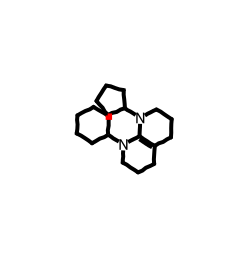 C1CCC(N2CCCC3=C2N(C2CCCC2)CCC3)CC1